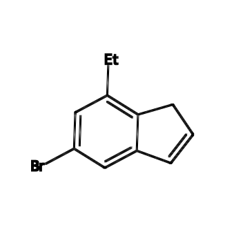 CCc1cc(Br)cc2c1CC=C2